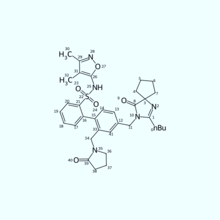 CCCCC1=NC2(CCCC2)C(=O)N1Cc1ccc(-c2ccccc2S(=O)(=O)Nc2onc(C)c2C)c(CN2CCCC2=O)c1